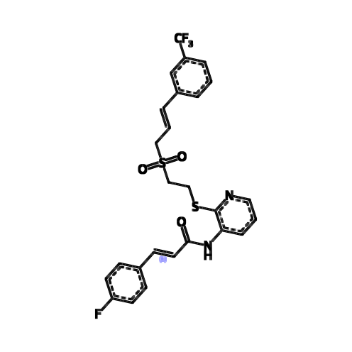 O=C(/C=C/c1ccc(F)cc1)Nc1cccnc1SCCS(=O)(=O)CC=Cc1cccc(C(F)(F)F)c1